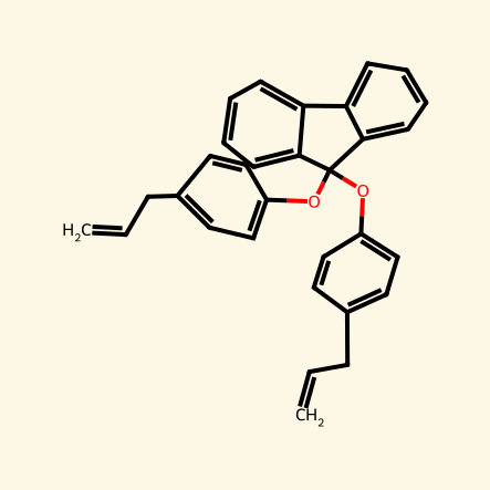 C=CCc1ccc(OC2(Oc3ccc(CC=C)cc3)c3ccccc3-c3ccccc32)cc1